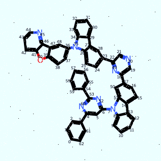 c1ccc(-c2cc(-n3c4ccccc4c4ccc(-c5cncc(-c6ccc7c(c6)c6ccccc6n7-c6ccc7oc8cccnc8c7c6)n5)cc43)nc(-c3ccccc3)n2)cc1